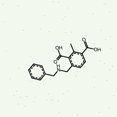 Cc1c(C(=O)O)ccc(CNCc2ccccc2)c1C(=O)O